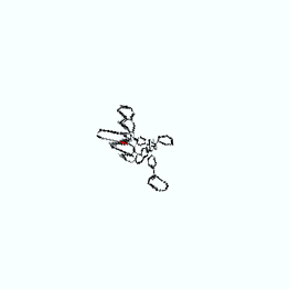 c1ccc(-c2ccc(-c3nc(-c4ccccc4)nc(-c4ccc(-n5c6ccccc6c6cc7ccccc7cc65)c(-c5cccc6oc7ccc8ccccc8c7c56)c4)n3)cc2)cc1